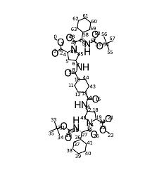 COC(=O)[C@@H]1C[C@H](NC(=O)C2CCC(C(=O)N[C@H]3C[C@@H](C(=O)OC)N(C(=O)[C@@H](NC(=O)OC(C)(C)C)C4CCCCC4)C3)CC2)CN1C(=O)[C@@H](NC(=O)OC(C)(C)C)C1CCCCC1